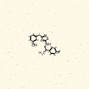 CC(CNc1nc(Cc2cccc(O)c2)ns1)c1ccc(F)cc1